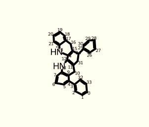 c1ccc(-c2cccc3c2CC2=C(N3)C3=C(Cc4ccccc4N3)C(c3ccccc3)C2)cc1